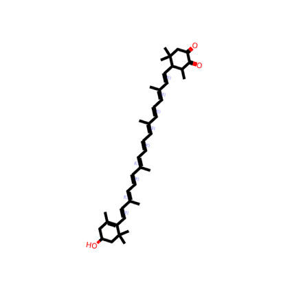 CC1=C(/C=C/C(C)=C/C=C/C(C)=C/C=C/C=C(C)/C=C/C=C(C)/C=C/C2C(C)C(=O)C(=O)CC2(C)C)C(C)(C)CC(O)C1